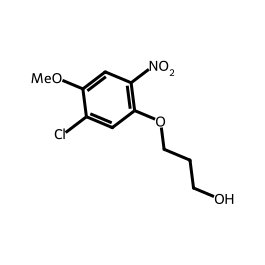 COc1cc([N+](=O)[O-])c(OCCCO)cc1Cl